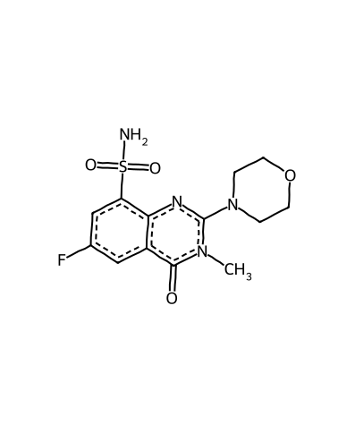 Cn1c(N2CCOCC2)nc2c(S(N)(=O)=O)cc(F)cc2c1=O